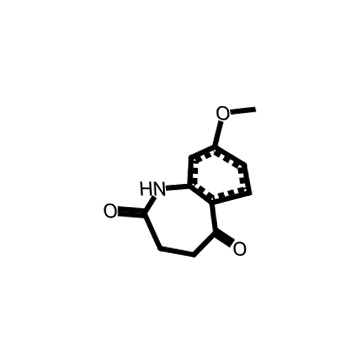 COc1ccc2c(c1)NC(=O)CCC2=O